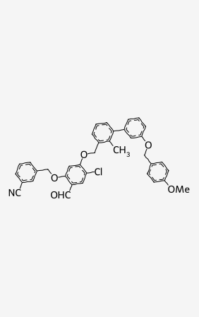 COc1ccc(COc2cccc(-c3cccc(COc4cc(OCc5cccc(C#N)c5)c(C=O)cc4Cl)c3C)c2)cc1